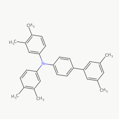 Cc1cc(C)cc(-c2ccc(N(c3ccc(C)c(C)c3)c3ccc(C)c(C)c3)cc2)c1